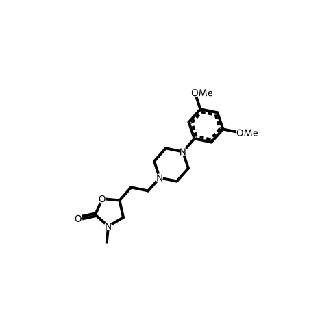 COc1cc(OC)cc(N2CCN(CCC3CN(C)C(=O)O3)CC2)c1